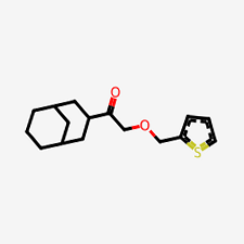 O=C(COCc1cccs1)C1CC2CCCC(C2)C1